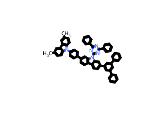 Cc1ccc2c(c1)c1cc(C)ccc1n2-c1ccc(-c2ccc3c4ccc(-c5cc(-c6ccccc6)cc(-c6ccccc6)c5)cc4n(-c4nc(-c5ccccc5)nc(-c5ccccc5)n4)c3c2)cc1